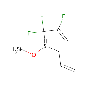 C=CC[SiH](O[SiH3])C(F)(F)C(=C)F